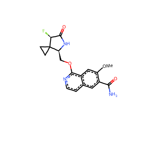 COc1cc2c(OC[C@@H]3NC(=O)[C@H](F)C34CC4)nccc2cc1C(N)=O